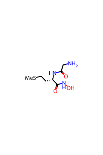 CSCC[C@H](NC(=O)CN)C(=O)NO